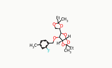 CCC1(C)O[C@H]2O[C@H]([C@H]3COC(C)(CC)O3)[C@H](OCc3ccc(C)cc3F)[C@H]2O1